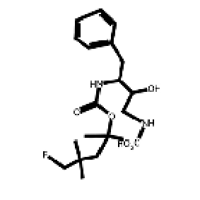 CC(C)(CF)CC(C)(C)OC(=O)NC(Cc1ccccc1)C(O)CNC(=O)O